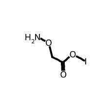 NOCC(=O)OI